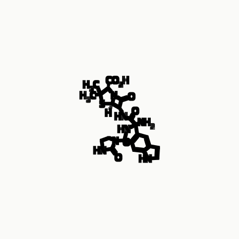 CC1(C)S[C@@H]2[C@H](NC(=O)C(N)(NC(=O)N3CCNC3=O)c3ccc4[nH]ccc4c3)C(=O)N2[C@H]1C(=O)O